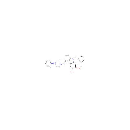 COc1cc2c3c(n(Cc4ccccc4)c2cc1OC)CCCC3CN1CCN(c2ccccc2)CC1